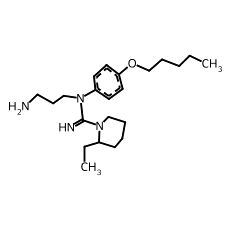 CCCCCOc1ccc(N(CCCN)C(=N)N2CCCCC2CC)cc1